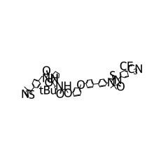 Cc1ncsc1-c1ccc(CNC(=O)[C@@H]2CCCN2C(=O)C(NC(=O)COc2cccc(Oc3ccc(-c4ccc(N5C(=S)N(c6ccc(C#N)c(C(F)(F)F)c6)C(=O)C5(C)C)cc4)cc3)c2)C(C)(C)C)cc1